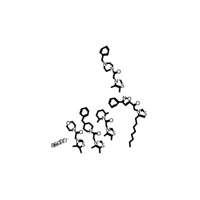 CCCCCCCCc1csc[n+]1CC(=O)c1cc(-c2ccccc2)no1.Cc1sc[n+](CC(=O)N2C(C)CCCC2C)c1C.Cc1sc[n+](CC(=O)N2CCC(Cc3ccccc3)CC2)c1C.Cc1sc[n+](CC(=O)N2CCN(Cc3ccccc3)CC2)c1C.Cc1sc[n+](CC(=O)N2CCOCC2)c1C.[Br-].[Br-].[Cl-].[Cl-].[Cl-]